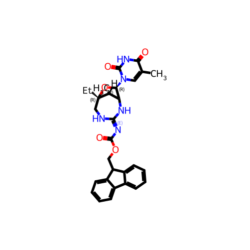 CC[C@@]12CN/C(=N\C(=O)OCC3c4ccccc4-c4ccccc43)NC([C@H](n3cc(C)c(=O)[nH]c3=O)O1)[C@H]2C